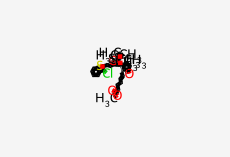 COC(=O)CCCC=CC[C@H]1C(=O)C[C@@H](C)[C@@H]1C=CC(CCc1sc2ccccc2c1Cl)O[Si](C)(C)C(C)(C)C